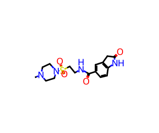 CN1CCN(S(=O)(=O)CCNC(=O)c2ccc3c(c2)CC(=O)N3)CC1